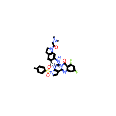 COc1cc2c(cc1Nc1nc3c(ccn3S(=O)(=O)c3ccc(C)cc3)c3nc4cc(F)cc(F)c4c(=O)n13)N(C(=O)CN(C)C)CC2